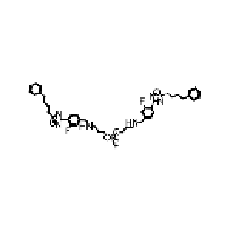 O=[PH](OCCCNCc1ccc(-c2noc(CCCCc3ccccc3)n2)c(F)c1)OCCCNCc1ccc(-c2noc(CCCCc3ccccc3)n2)c(F)c1